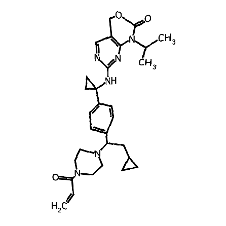 C=CC(=O)N1CCN(C(CC2CC2)c2ccc(C3(Nc4ncc5c(n4)N(C(C)C)C(=O)OC5)CC3)cc2)CC1